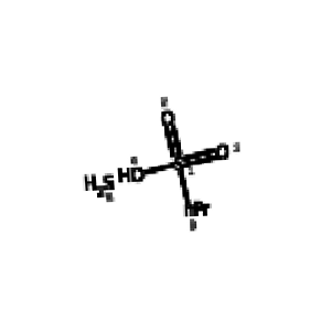 CCCS(=O)(=O)O.S